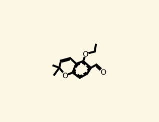 CCOc1c(C=O)ccc2c1C=CC(C)(C)O2